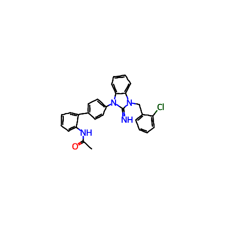 CC(=O)Nc1ccccc1-c1ccc(-n2c(=N)n(Cc3ccccc3Cl)c3ccccc32)cc1